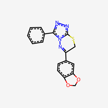 c1ccc(-c2nnc3n2N=C(c2ccc4c(c2)OCO4)CS3)cc1